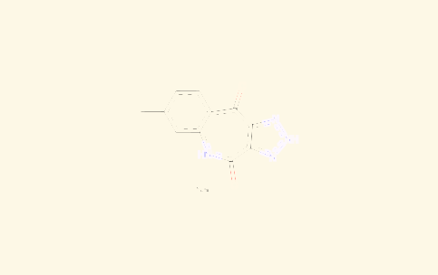 Cc1ccc2c(=O)c3n[nH]nc3c(=O)[nH]c2c1.[NaH]